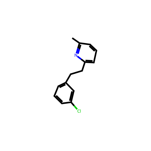 Cc1cccc(CCc2cccc(Cl)c2)n1